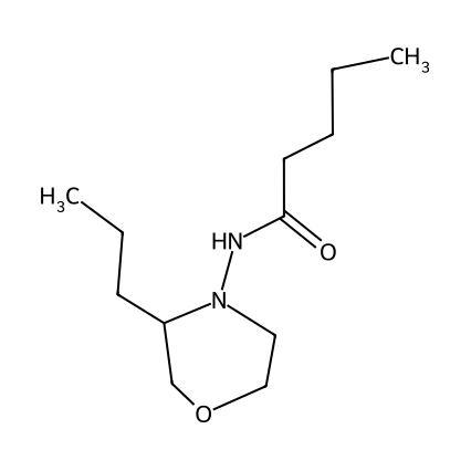 CCCCC(=O)NN1CCOCC1CCC